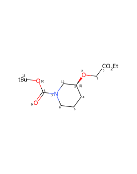 CCOC(=O)CO[C@H]1CCCN(C(=O)OC(C)(C)C)C1